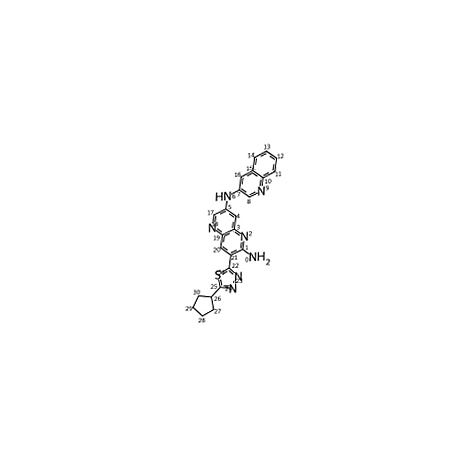 Nc1nc2cc(Nc3cnc4ccccc4c3)cnc2cc1-c1nnc(C2CCCC2)s1